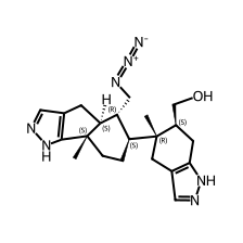 C[C@]1([C@H]2CC[C@]3(C)c4[nH]ncc4C[C@H]3[C@@H]2CN=[N+]=[N-])Cc2cn[nH]c2C[C@@H]1CO